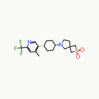 Cc1cc(C(F)(F)F)ncc1[C@H]1CC[C@H](N2CCC3(C2)CS(=O)(=O)C3)CC1